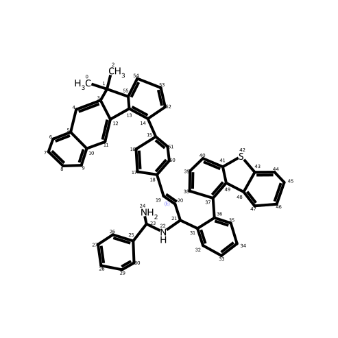 CC1(C)c2cc3ccccc3cc2-c2c(-c3ccc(/C=C/C(NC(N)c4ccccc4)c4ccccc4-c4cccc5sc6ccccc6c45)cc3)cccc21